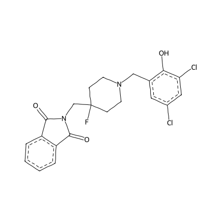 O=C1c2ccccc2C(=O)N1CC1(F)CCN(Cc2cc(Cl)cc(Cl)c2O)CC1